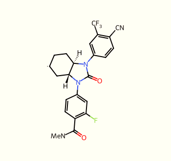 CNC(=O)c1ccc(N2C(=O)N(c3ccc(C#N)c(C(F)(F)F)c3)[C@@H]3CC[CH]C[C@H]32)cc1F